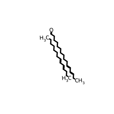 CCC=CC=CCCCCCCCCCC=O.CCCC=CC=CCCCCCCC